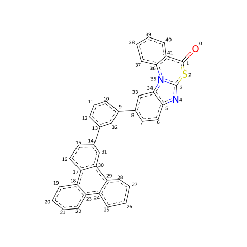 O=c1sc2nc3ccc(-c4cccc(-c5ccc6c7ccccc7c7ccccc7c6c5)c4)cc3n2c2ccccc12